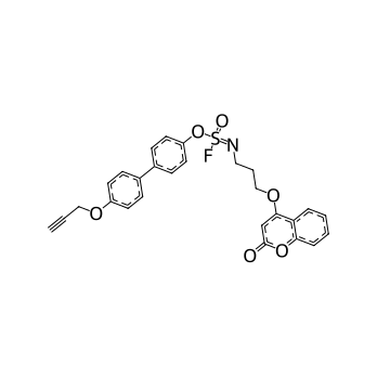 C#CCOc1ccc(-c2ccc(OS(=O)(F)=NCCCOc3cc(=O)oc4ccccc34)cc2)cc1